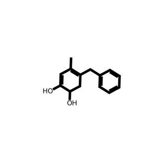 CC1=C(Cc2ccccc2)CC(O)C(O)=C1